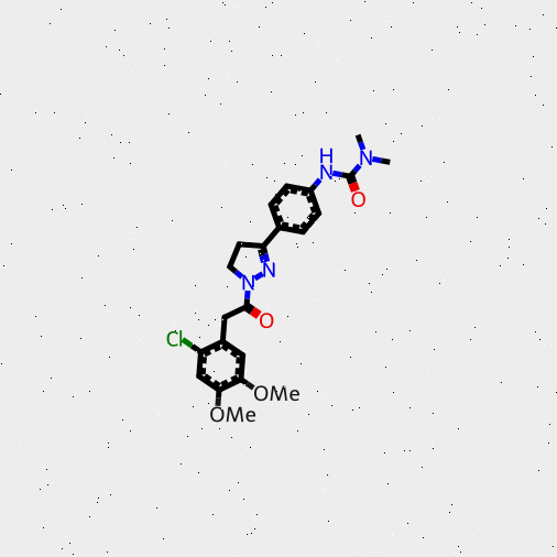 COc1cc(Cl)c(CC(=O)N2CCC(c3ccc(NC(=O)N(C)C)cc3)=N2)cc1OC